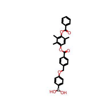 Cc1cc(OC(=O)c2ccc(COc3ccc(B(O)O)cc3)cc2)c(C)c(C)c1OC(=O)c1ccccc1